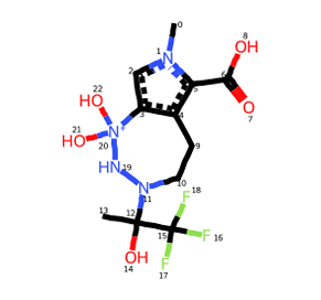 Cn1cc2c(c1C(=O)O)CCN(C(C)(O)C(F)(F)F)N[N+]2(O)O